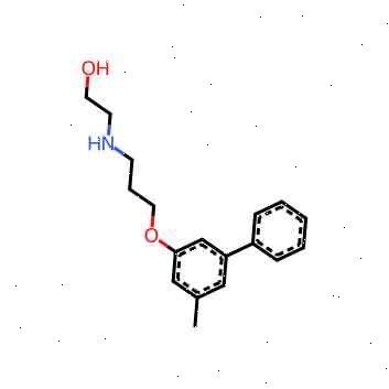 Cc1cc(OCCCNCCO)cc(-c2ccccc2)c1